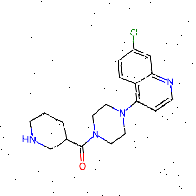 O=C(C1CCCNC1)N1CCN(c2ccnc3cc(Cl)ccc23)CC1